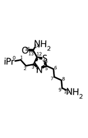 CC(C)CCc1nc(CCCCN)sc1C(N)=O